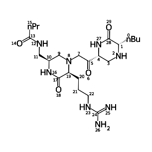 CCCC[C@@H]1NC[C@H](C(=O)CN2C[C@H](CNC(=O)CCC)NC(=O)[C@@H]2CCCNC(=N)N)NC1=O